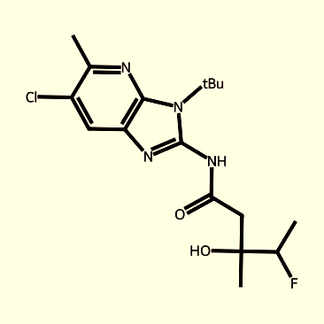 Cc1nc2c(cc1Cl)nc(NC(=O)CC(C)(O)C(C)F)n2C(C)(C)C